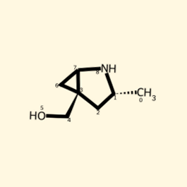 C[C@@H]1C[C@]2(CO)CC2N1